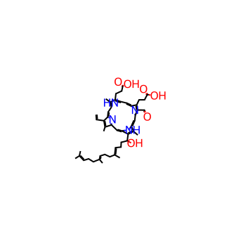 C=CC1=C(C)c2cc3[nH]c(cc4nc(cc5[nH]c(cc1n2)c(C)c5CCC(=O)O)C(CCC(=O)O)=C4C=O)c(C)c3C(O)CC/C=C(\C)CC/C=C(\C)CCC=C(C)C